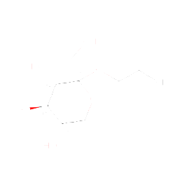 CCCO[C@@]1(CO)OC[C@H](O)[C@@H](O)[C@@H]1O